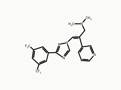 CN(C)C/C(=C/n1cnc(-c2cc(C(F)(F)F)cc(C(F)(F)F)c2)n1)c1cccnc1